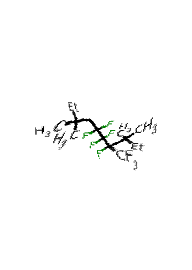 CCC(C)(C)CC(F)(F)C(F)(F)C(F)(C(F)(F)F)C(C)(C)CC